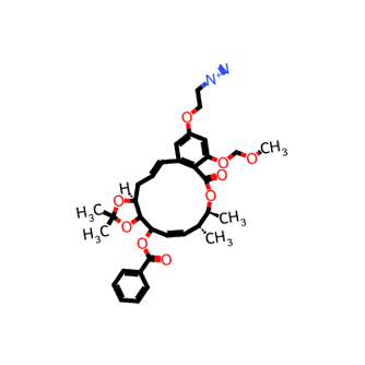 COCOc1cc(OCC[N+]#N)cc2c1C(=O)O[C@@H](C)[C@H](C)/C=C\C(OC(=O)c1ccccc1)C1OC(C)(C)O[C@H]1C/C=C/2